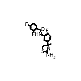 CC1(c2ccc(F)c(NC(=O)c3ccc(F)cc3F)c2)CCSC(N)=N1